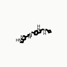 c1cc2cc(-c3cn(Cc4ccc5cc(CNCC6CCC6)[nH]c5c4)cn3)cnc2[nH]1